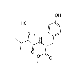 COC(=O)C(Cc1ccc(O)cc1)NC(=O)C(N)C(C)C.Cl